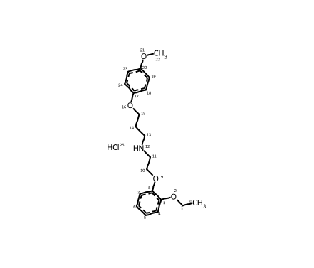 CCOc1ccccc1OCCNCCCOc1ccc(OC)cc1.Cl